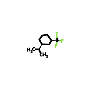 CC(C)[C@@H]1CCC[C@H](C(F)(F)F)C1